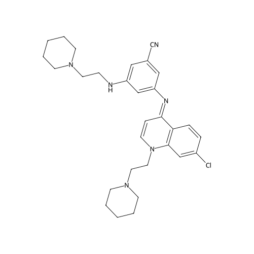 N#Cc1cc(N=c2ccn(CCN3CCCCC3)c3cc(Cl)ccc23)cc(NCCN2CCCCC2)c1